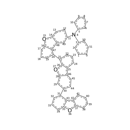 c1ccc(N(c2ccccc2)c2ccc3oc4cccc(-c5cccc6c5oc5cc(-c7cccc8oc9ccccc9c78)ccc56)c4c3c2)cc1